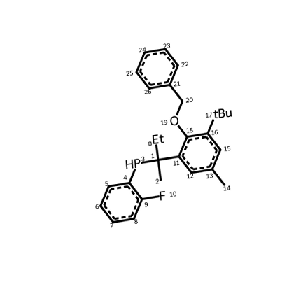 CCC(C)(Pc1ccccc1F)c1cc(C)cc(C(C)(C)C)c1OCc1ccccc1